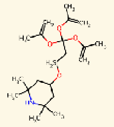 C=C(C)OC(C[SiH2]OC1CC(C)(C)NC(C)(C)C1)(OC(=C)C)OC(=C)C